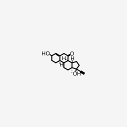 C#CC1(O)CC[C@H]2[C@@H]3C(=O)CC4=CC(O)CC[C@]4(C)[C@@H]3CC[C@@]21C